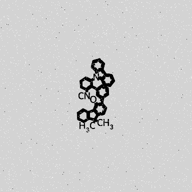 CC1(C)C2=C(C=CCC2)c2c1ccc1c2oc2c(C3=C(C#N)CCC=C3n3c4ccccc4c4ccccc43)cccc21